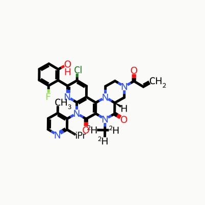 [2H]C([2H])([2H])N1C(=O)[C@H]2CN(C(=O)C=C)CCN2c2c1c(=O)n(-c1c(C)ccnc1C(C)C)c1nc(-c3c(O)cccc3F)c(Cl)cc21